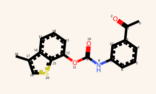 CC(=O)c1cccc(NC(=O)Oc2cccc3c(C)csc23)c1